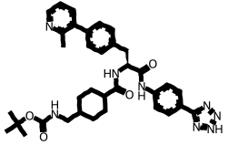 Cc1ncccc1-c1ccc(C[C@H](NC(=O)C2CCC(CNC(=O)OC(C)(C)C)CC2)C(=O)Nc2ccc(-c3nn[nH]n3)cc2)cc1